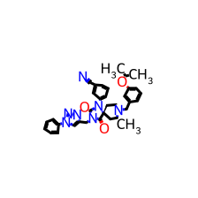 CC(C)Oc1cccc(CN2CC[C@@]3(C[C@@H]2C)C(=O)N(Cc2cn(-c4ccccc4)nn2)C(=O)N3c2cccc(C#N)c2)c1